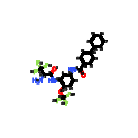 N[C@H](C(=O)Nc1cc(NC(=O)c2ccc(-c3ccccc3)cc2)ccc1OC(F)(F)F)C(F)(F)F